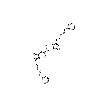 O=C(Oc1nc(CCCOCc2ccccc2)c[nH]1)C(=O)Oc1nc(CCCOCc2ccccc2)c[nH]1